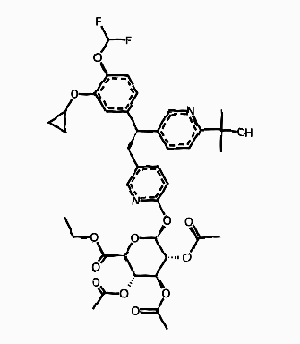 CCOC(=O)[C@H]1O[C@@H](Oc2ccc(C[C@H](c3ccc(C(C)(C)O)nc3)c3ccc(OC(F)F)c(OC4CC4)c3)cn2)[C@H](OC(C)=O)[C@@H](OC(C)=O)[C@@H]1OC(C)=O